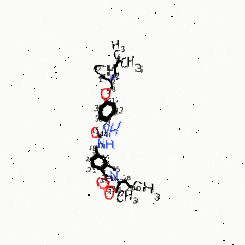 C=C/C(=C\C=C(C)C)COc1ccc(NC(=O)NCc2ccc3c(c2)CN(C(CCC)C(C)=O)C3=O)cc1